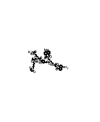 CC(C)[C@H](NC(=O)CCCCCN1C(=O)C=CC1=O)C(=O)N[C@@H](CCCNC(N)=O)C(=O)Nc1ccc(COC(=O)N(CCCNC(=O)CN2C(=O)c3cccc4c(N)ccc(c34)C2=O)CCN2C(=O)c3cccc4c(N)ccc(c34)C2=O)cc1